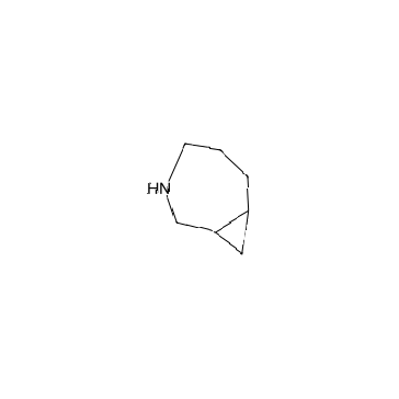 C1CNCC2CC2C1